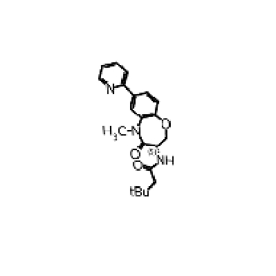 CN1C(=O)[C@@H](NC(=O)CC(C)(C)C)COc2ccc(-c3ccccn3)cc21